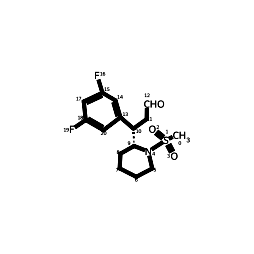 CS(=O)(=O)N1CCCC[C@@H]1C(CC=O)c1cc(F)cc(F)c1